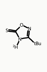 [2H]n1c(C(C)(C)C)noc1=S